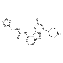 O=C(NCc1ccco1)Nc1cccc2nn3c(C4CCNCC4)cc(=O)[nH]c3c12